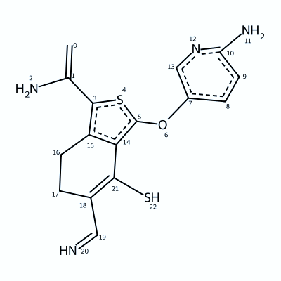 C=C(N)c1sc(Oc2ccc(N)nc2)c2c1CCC(C=N)=C2S